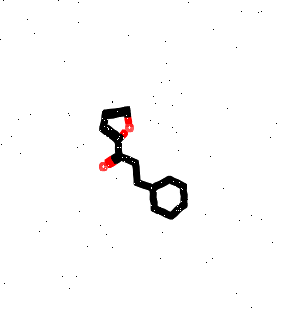 O=C(CCC1CCCCC1)c1ccco1